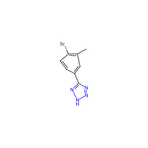 Cc1cc(-c2nn[nH]n2)ccc1Br